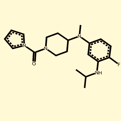 CC(C)Nc1cc(N(C)C2CCN(C(=O)n3cccc3)CC2)ccc1F